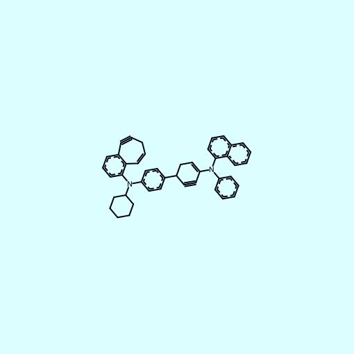 C1#Cc2cccc(N(c3ccc(C4C#CC(N(c5ccccc5)c5cccc6ccccc56)=CC4)cc3)C3CCCCC3)c2C=CC1